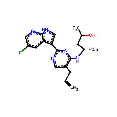 C=CCc1cnc(-c2c[nH]c3ncc(F)cc23)nc1N[C@H](CC(O)C(F)(F)F)C(C)(C)C